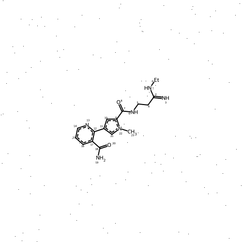 CCNC(=N)CCNC(=O)c1cc(-c2ncccc2C(N)=O)cn1C